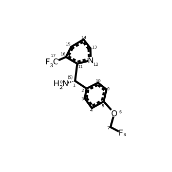 N[C@@H](c1ccc(OCF)cc1)c1ncccc1C(F)(F)F